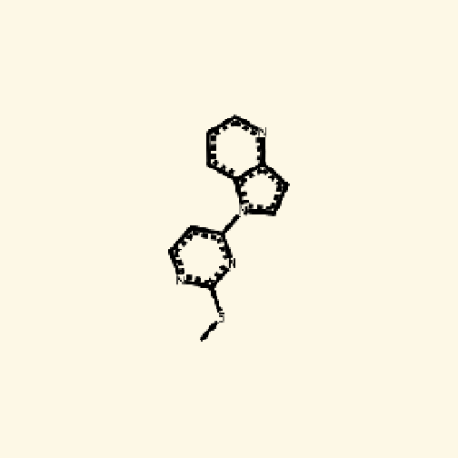 CSc1nccc(-n2ccc3ncccc32)n1